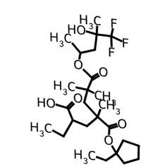 CCC(CC(C)(CC(C)(C)C(=O)OC(C)CC(C)(O)C(F)(F)F)C(=O)OC1(CC)CCCC1)C(=O)O